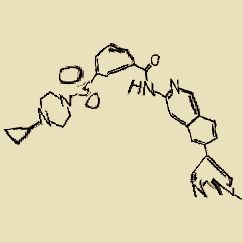 Cn1cc(-c2ccc3cnc(NC(=O)c4cccc(S(=O)(=O)N5CCN(C6CC6)CC5)c4)cc3c2)cn1